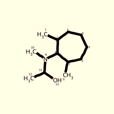 CC1CCCCC(C)C1N(C)C(C)O